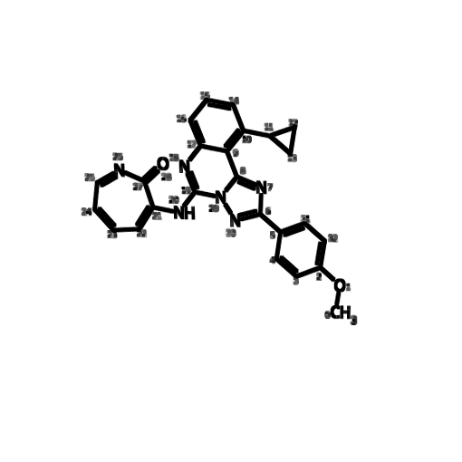 COc1ccc(-c2nc3c4c(C5CC5)cccc4nc(Nc4ccccnc4=O)n3n2)cc1